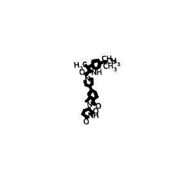 Cc1c(C(=O)N2CCC(c3ccc4c(c3)CN(C3CCC(=O)NC3=O)C4=O)CC2)[nH]c2cc(C(C)(C)C)ccc12